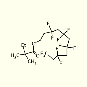 CCC(C)(C)C(=O)OCCC(F)(F)CC(F)(F)CC(F)(F)CC(F)(F)CC(F)(F)F